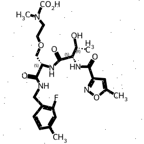 Cc1ccc(CNC(=O)[C@H](COCCN(C)C(=O)O)NC(=O)[C@@H](NC(=O)c2cc(C)on2)[C@@H](C)O)c(F)c1